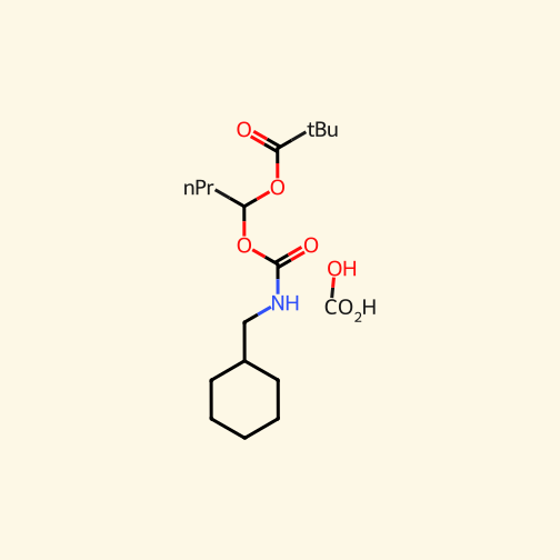 CCCC(OC(=O)NCC1CCCCC1)OC(=O)C(C)(C)C.O=C(O)O